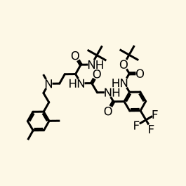 Cc1ccc(CCN(C)CCC(NC(=O)CNC(=O)c2cc(C(F)(F)F)ccc2NC(=O)OC(C)(C)C)C(=O)NC(C)(C)C)c(C)c1